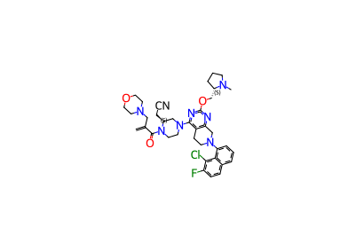 C=C(CN1CCOCC1)C(=O)N1CCN(c2nc(OC[C@@H]3CCCN3C)nc3c2CCN(c2cccc4ccc(F)c(Cl)c24)C3)C[C@@H]1CC#N